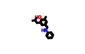 Cc1cc(CNc2ccccc2)cc(CC(C)C)c1O